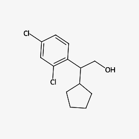 OCC(c1ccc(Cl)cc1Cl)C1CCCC1